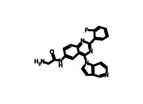 NCC(=O)Nc1ccc2nc(-c3ccccc3F)nc(-n3ccc4cnccc43)c2c1